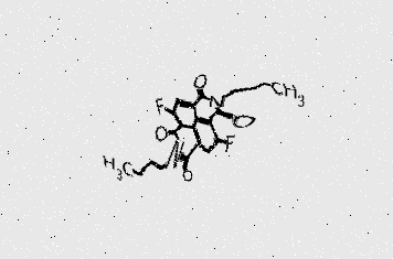 CCCCN1C(=O)c2cc(F)c3c4c(cc(F)c(c24)C1=O)C(=O)N(CCCC)C3=O